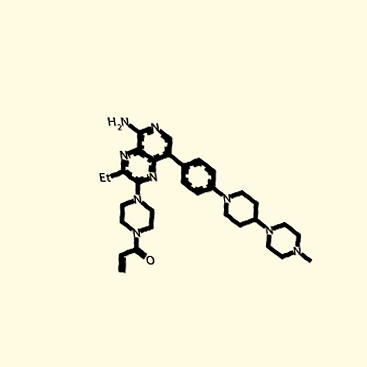 C=CC(=O)N1CCN(c2nc3c(-c4ccc(N5CCC(N6CCN(C)CC6)CC5)cc4)cnc(N)c3nc2CC)CC1